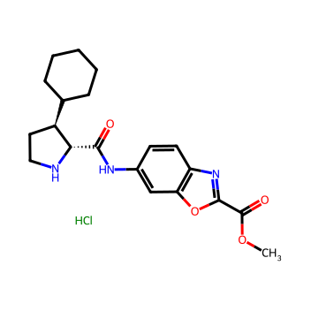 COC(=O)c1nc2ccc(NC(=O)[C@@H]3NCC[C@H]3C3CCCCC3)cc2o1.Cl